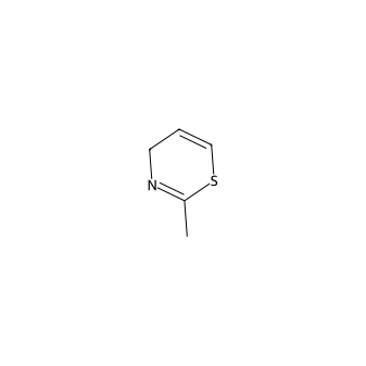 CC1=NCC=CS1